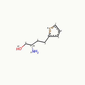 N[C@@H]([CH]Cc1cccs1)CO